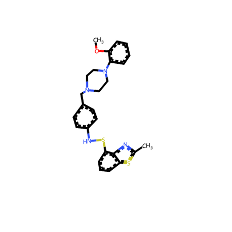 COc1ccccc1N1CCN(Cc2ccc(NSc3cccc4sc(C)nc34)cc2)CC1